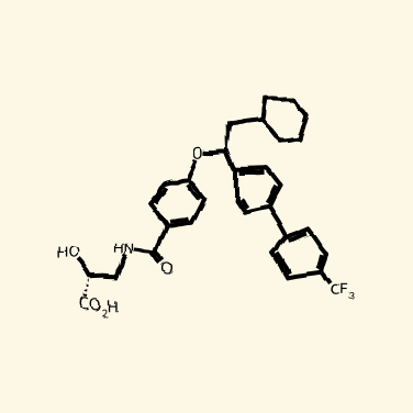 O=C(NC[C@@H](O)C(=O)O)c1ccc(O[C@@H](CC2CCCCC2)c2ccc(-c3ccc(C(F)(F)F)cc3)cc2)cc1